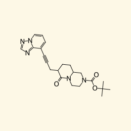 CC(C)(C)OC(=O)N1CCN2C(=O)C(CC#Cc3cccn4ncnc34)CCC2C1